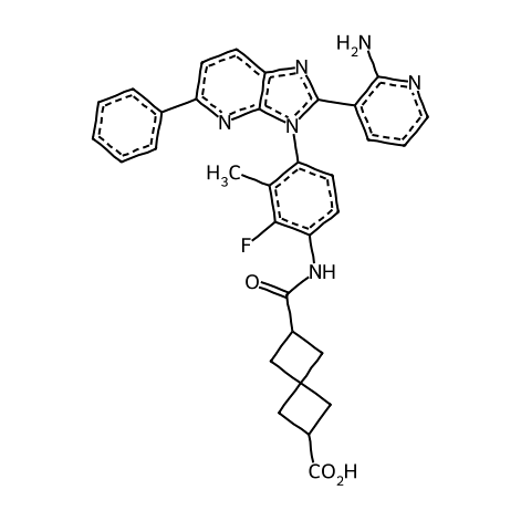 Cc1c(-n2c(-c3cccnc3N)nc3ccc(-c4ccccc4)nc32)ccc(NC(=O)C2CC3(CC(C(=O)O)C3)C2)c1F